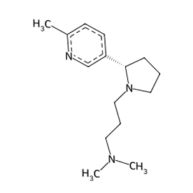 Cc1ccc([C@@H]2CCCN2CCCN(C)C)cn1